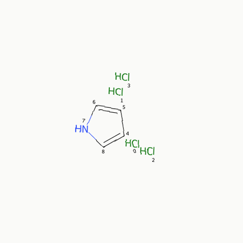 Cl.Cl.Cl.Cl.c1cc[nH]c1